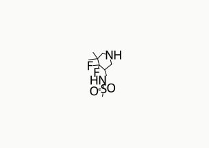 CC1(C)CNCC(CNS(C)(=O)=O)C1(F)F